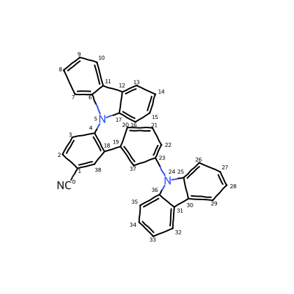 N#Cc1ccc(-n2c3ccccc3c3ccccc32)c(-c2cccc(-n3c4ccccc4c4ccccc43)c2)c1